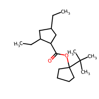 CCC1CC(CC)C(C(=O)OC2(C(C)(C)C)CCCC2)C1